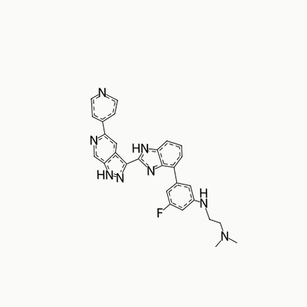 CN(C)CCNc1cc(F)cc(-c2cccc3[nH]c(-c4n[nH]c5cnc(-c6ccncc6)cc45)nc23)c1